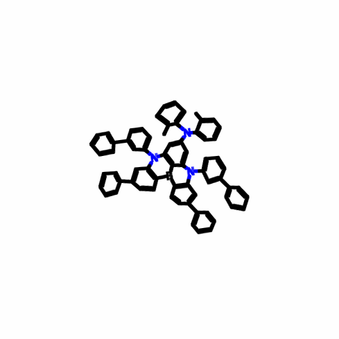 Cc1ccccc1N(c1cc2c3c(c1)N(c1cccc(-c4ccccc4)c1)c1cc(-c4ccccc4)ccc1B3c1ccc(-c3ccccc3)cc1N2c1cccc(-c2ccccc2)c1)c1ccccc1C